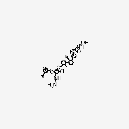 Cc1c(COc2cc(OCc3cncc(C#N)c3)c(CNCCN)cc2Cl)cccc1-c1cccc(-c2ccn3c(=O)c(CNCCO)cnc3c2)c1C#N